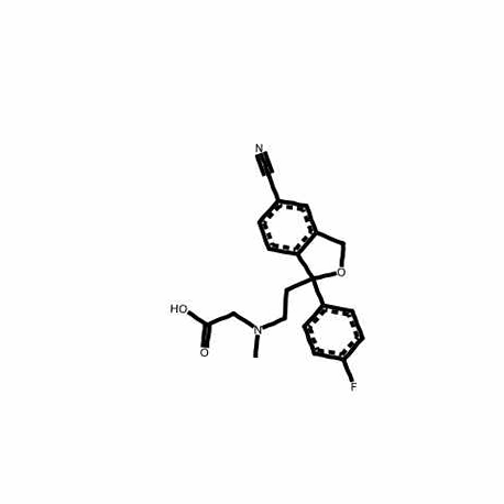 CN(CCC1(c2ccc(F)cc2)OCc2cc(C#N)ccc21)CC(=O)O